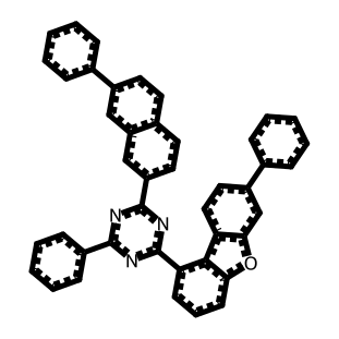 c1ccc(-c2ccc3ccc(-c4nc(-c5ccccc5)nc(-c5cccc6oc7cc(-c8ccccc8)ccc7c56)n4)cc3c2)cc1